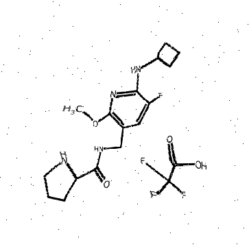 COc1nc(NC2CCC2)c(F)cc1CNC(=O)C1CCCN1.O=C(O)C(F)(F)F